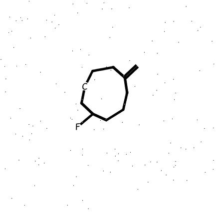 C=C1CCCCC(F)CCC1